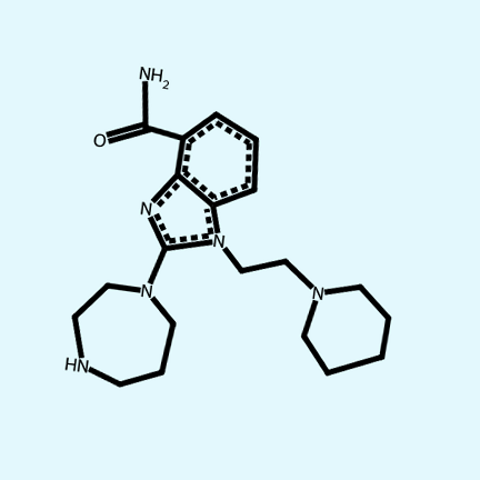 NC(=O)c1cccc2c1nc(N1CCCNCC1)n2CCN1CCCCC1